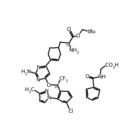 Cc1ccn(-c2cc(Cl)ccc2[C@@H](Oc2cc(C3=CCC(C[C@H](N)C(=O)OCC(C)(C)C)CC3)nc(N)n2)C(F)(F)F)n1.O=C(O)CNC(=O)c1ccccc1